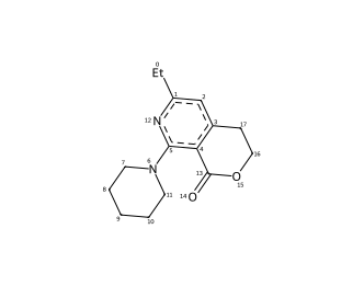 CCc1cc2c(c(N3CCCCC3)n1)C(=O)OCC2